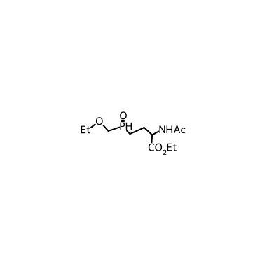 CCOC[PH](=O)CCC(NC(C)=O)C(=O)OCC